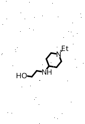 CCN1CCC(NCCO)CC1